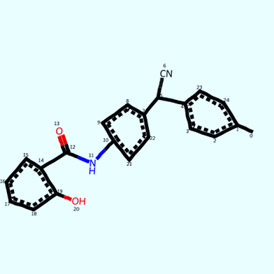 Cc1ccc(C(C#N)c2ccc(NC(=O)c3ccccc3O)cc2)cc1